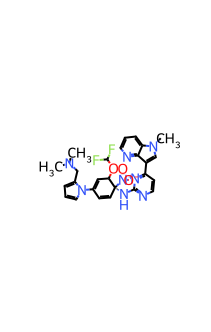 CN(C)Cc1cccn1C1=CC(OC(F)F)[C@@](Nc2nccc(-c3cn(C)c4cccnc34)n2)([N+](=O)[O-])C=C1